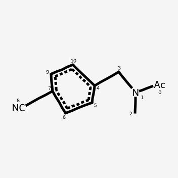 CC(=O)N(C)Cc1ccc(C#N)cc1